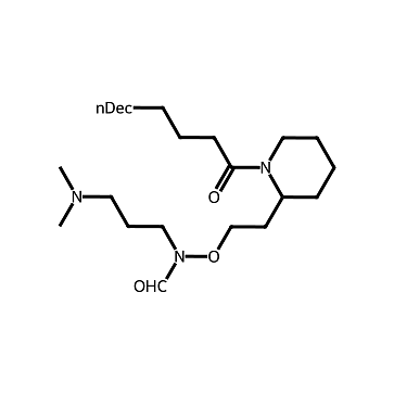 CCCCCCCCCCCCCC(=O)N1CCCCC1CCON(C=O)CCCN(C)C